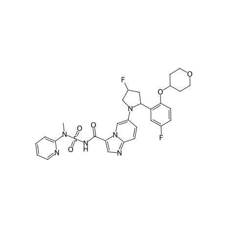 CN(c1ccccn1)S(=O)(=O)NC(=O)c1cnc2ccc(N3CC(F)CC3c3cc(F)ccc3OC3CCOCC3)cn12